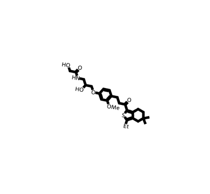 CCc1sc(C(=O)CCc2ccc(OCC(O)CNC(=O)CO)cc2OC)c2c1CC(C)(C)CC2